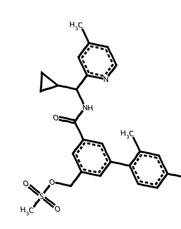 Cc1ccnc(C(NC(=O)c2cc(COS(C)(=O)=O)cc(-c3ccc(F)cc3C)c2)C2CC2)c1